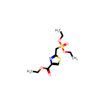 CCOC(=O)c1csc(CP(=O)(OCC)OCC)n1